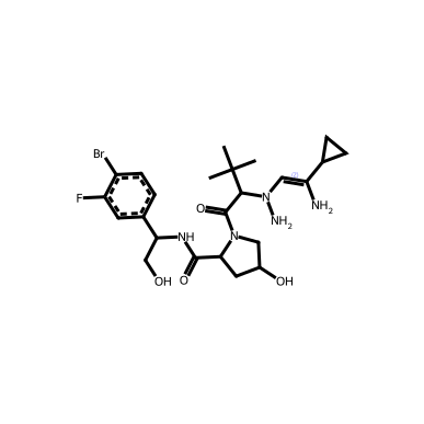 CC(C)(C)C(C(=O)N1CC(O)CC1C(=O)NC(CO)c1ccc(Br)c(F)c1)N(N)/C=C(\N)C1CC1